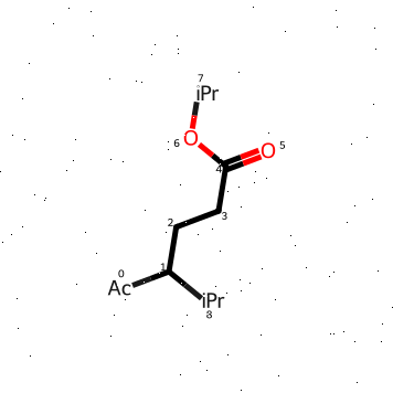 CC(=O)C(CCC(=O)OC(C)C)C(C)C